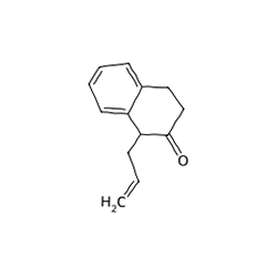 C=CCC1C(=O)CCc2ccccc21